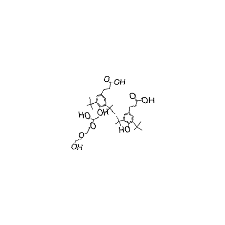 CC(C)(C)c1cc(CCC(=O)O)cc(C(C)(C)C)c1O.CC(C)(C)c1cc(CCC(=O)O)cc(C(C)(C)C)c1O.CC(O)OCCOCCO